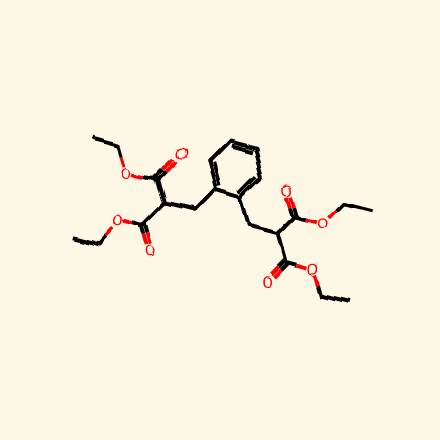 CCOC(=O)C(Cc1ccccc1CC(C(=O)OCC)C(=O)OCC)C(=O)OCC